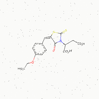 O=C(O)COc1ccc(C=C2SC(=S)N(C(CC(=O)O)C(=O)O)C2=O)cc1